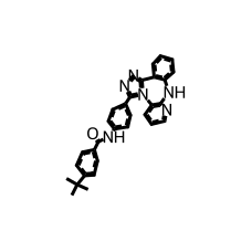 CC(C)(C)c1ccc(C(=O)Nc2ccc(-c3nnc4n3-c3cccnc3Nc3ccccc3-4)cc2)cc1